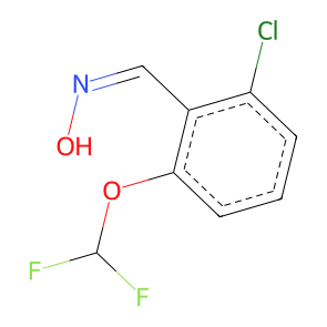 O/N=C\c1c(Cl)cccc1OC(F)F